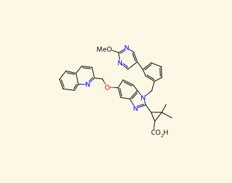 COc1ncc(-c2cccc(Cn3c(C4C(C(=O)O)C4(C)C)nc4cc(OCc5ccc6ccccc6n5)ccc43)c2)cn1